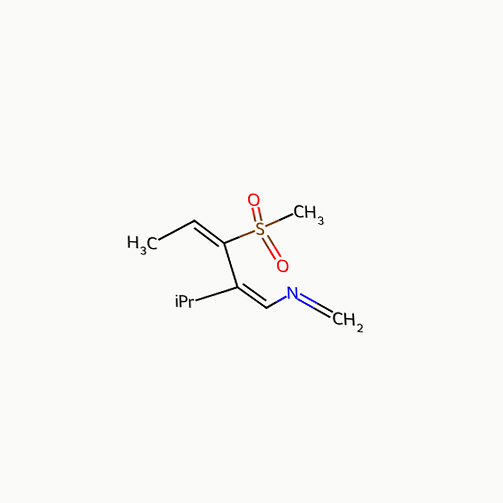 C=N/C=C(\C(=C/C)S(C)(=O)=O)C(C)C